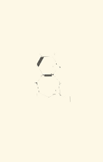 CN1CCCC2=C(C1)NCC#C2